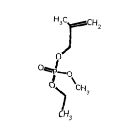 C=C(C)COP(=O)(OC)OCC